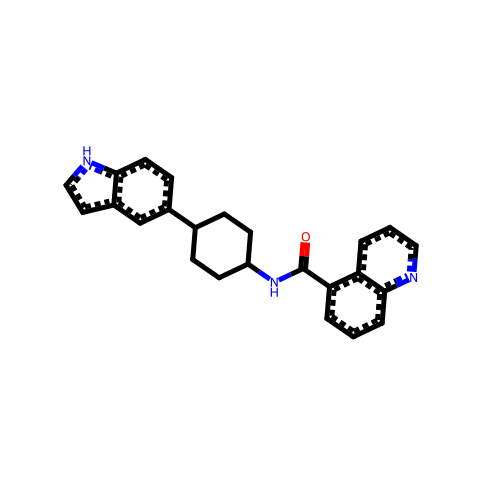 O=C(NC1CCC(c2ccc3[nH]ccc3c2)CC1)c1cccc2ncccc12